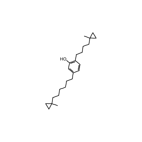 CC1(CCCCCCc2ccc(CCCCC3(C)CC3)c(O)c2)CC1